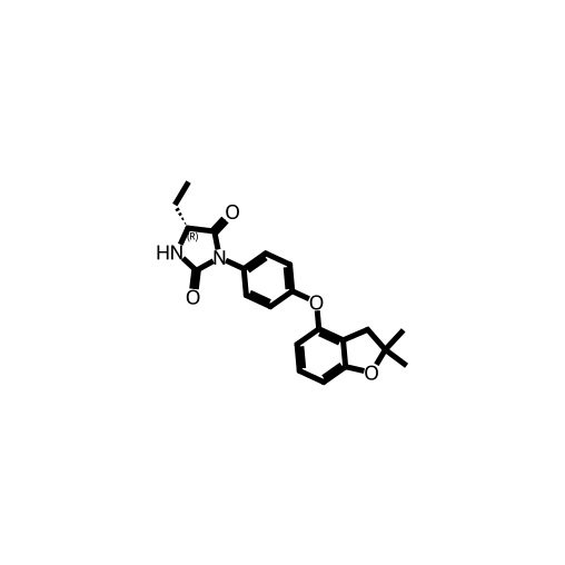 CC[C@H]1NC(=O)N(c2ccc(Oc3cccc4c3CC(C)(C)O4)cc2)C1=O